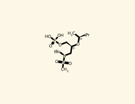 CC(C)[C@H](C)O[C@H](COP(=O)(O)O)CN(C(C)(C)C)S(C)(=O)=O